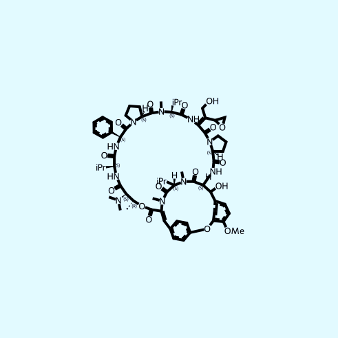 COc1ccc2cc1Oc1ccc(cc1)C=C1C(=O)O[C@H](C)[C@H](N(C)C)C(=O)N[C@@H](C(C)C)C(=O)N[C@@H](c3ccccc3)C(=O)N3CCC[C@H]3C(=O)N(C)[C@@H](C(C)C)C(=O)NC(=C(CO)C3CO3)C(=O)N3CCC[C@H]3C(=O)N[C@H](C(=O)N(C)[C@@H](C(C)C)C(=O)N1C)C2O